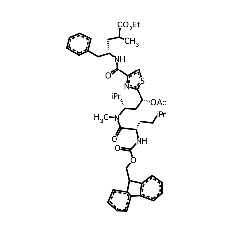 CCOC(=O)[C@@H](C)C[C@@H](Cc1ccccc1)NC(=O)c1csc([C@@H](C[C@@H](C(C)C)N(C)C(=O)[C@H](CCC(C)C)NC(=O)OCC2c3ccccc3-c3ccccc32)OC(C)=O)n1